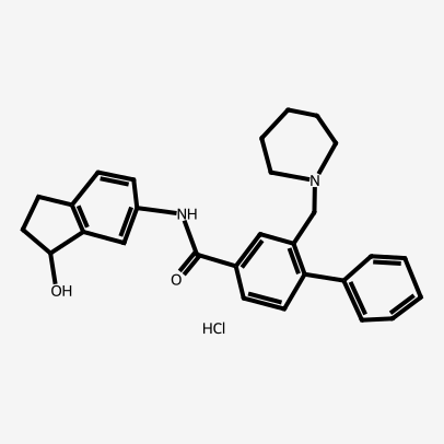 Cl.O=C(Nc1ccc2c(c1)C(O)CC2)c1ccc(-c2ccccc2)c(CN2CCCCC2)c1